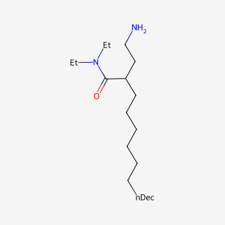 CCCCCCCCCCCCCCCCC(CCN)C(=O)N(CC)CC